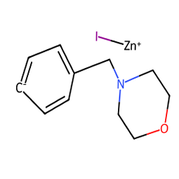 [Zn+][I].[c-]1ccc(CN2CCOCC2)cc1